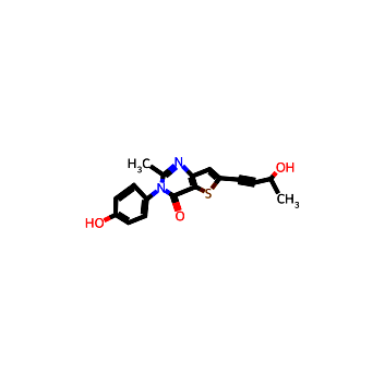 Cc1nc2cc(C#CC(C)O)sc2c(=O)n1-c1ccc(O)cc1